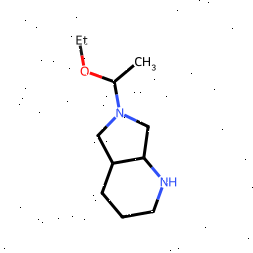 CCOC(C)N1CC2CCCNC2C1